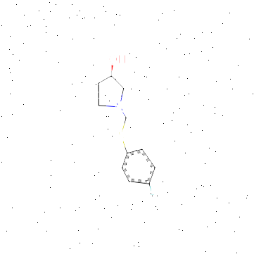 O[C@@H]1CCN(CSc2ccc(F)cc2)C1